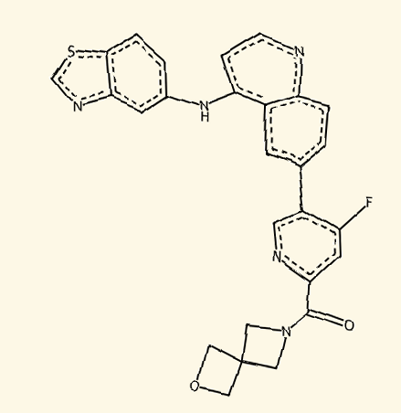 O=C(c1cc(F)c(-c2ccc3nccc(Nc4ccc5scnc5c4)c3c2)cn1)N1CC2(COC2)C1